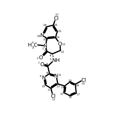 CN1C(=O)[C@@H](NC(=O)c2ncc(Cl)c(-c3cccc(Cl)c3)n2)COc2cc(Cl)cnc21